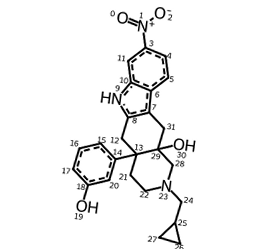 O=[N+]([O-])c1ccc2c3c([nH]c2c1)CC1(c2cccc(O)c2)CCN(CC2CC2)CC1(O)C3